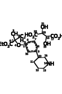 CCOC(=O)C(C)(C)Oc1cccc(C2CCCNC2)c1.O=C(O)C(O)C(O)C(=O)O